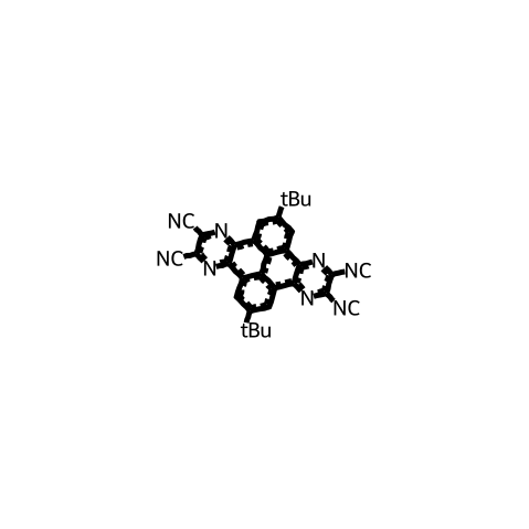 [C-]#[N+]c1nc2c3cc(C(C)(C)C)cc4c5nc(C#N)c(C#N)nc5c5cc(C(C)(C)C)cc(c2nc1[N+]#[C-])c5c43